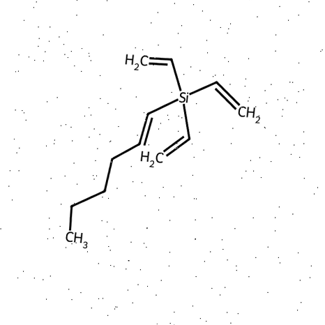 C=C[Si](C=C)(C=C)C=CCCCC